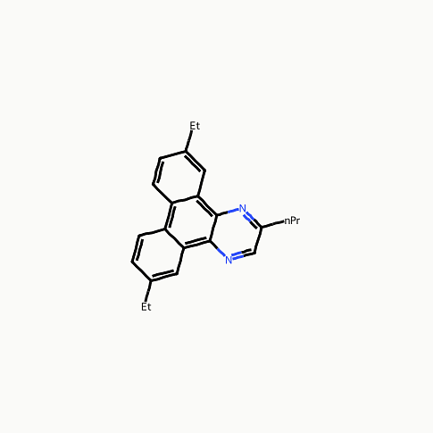 CCCc1cnc2c3cc(CC)ccc3c3ccc(CC)cc3c2n1